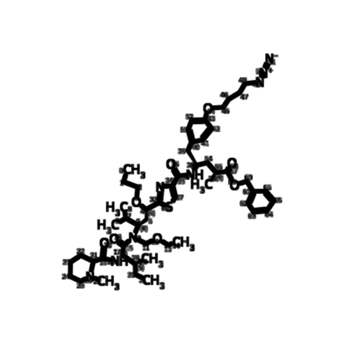 CCCO[C@H](C[C@H](C(C)C)N(COCC)C(=O)[C@@H](NC(=O)C1CCCCN1C)[C@@H](C)CC)c1nc(C(=O)N[C@@H](Cc2ccc(OCCCCN=[N+]=[N-])cc2)C[C@H](C)C(=O)OCc2ccccc2)cs1